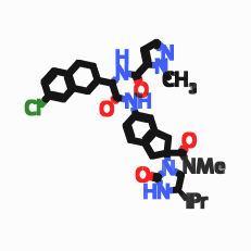 CNC(=O)C1(N2C[C@@H](C(C)C)NC2=O)Cc2ccc(NC(=O)C(NC(=O)c3ccnn3C)C3CCc4ccc(Cl)cc4C3)cc2C1